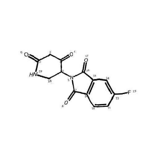 O=C1CC(=O)C(N2C(=O)c3ccc(F)cc3C2=O)CN1